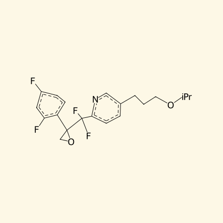 CC(C)OCCCc1ccc(C(F)(F)C2(c3ccc(F)cc3F)CO2)nc1